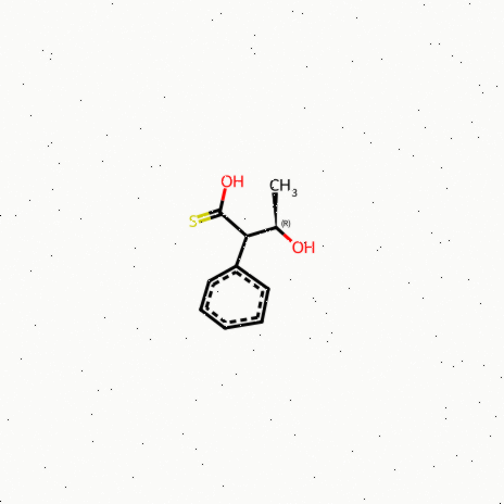 C[C@@H](O)C(C(O)=S)c1ccccc1